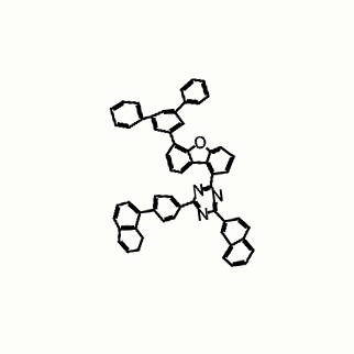 C1=Cc2cccc(-c3ccc(-c4nc(-c5ccc6ccccc6c5)nc(-c5cccc6oc7c(-c8cc(-c9ccccc9)cc(-c9ccccc9)c8)cccc7c56)n4)cc3)c2CC1